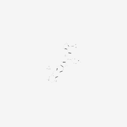 C[C@@H](O[C@H](C)C(F)(F)F)[C@H](NC(=O)c1nonc1C1CC1)c1nc2nc([C@@H](C3CC3)N3CC(F)(F)CNC3=O)ccc2[nH]1